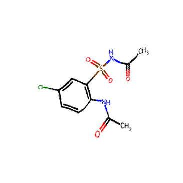 CC(=O)Nc1ccc(Cl)cc1S(=O)(=O)NC(C)=O